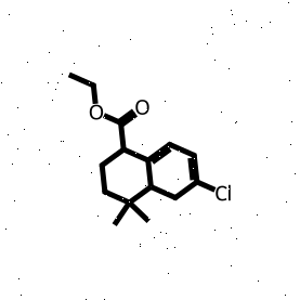 CCOC(=O)C1CCC(C)(C)C2CC(Cl)=CC=C12